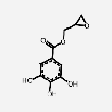 O=C(OCC1CO1)c1[c]c(O)c(O)c(O)c1